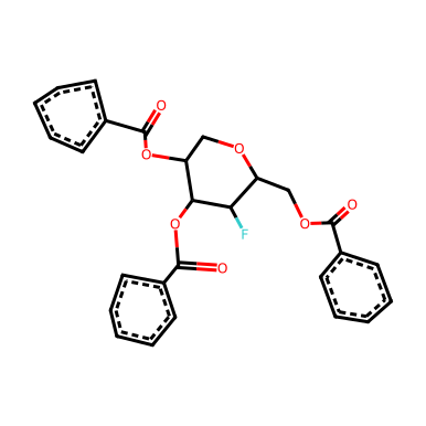 O=C(OCC1OCC(OC(=O)c2ccccc2)C(OC(=O)c2ccccc2)C1F)c1ccccc1